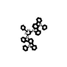 c1ccc(-c2nc(-n3c4ccccc4c4c3ccc3c5ccccc5n(-c5ccccc5)c34)cc(-n3c4ccccc4c4c3ccc3c5ccccc5n(-c5ccccc5)c34)n2)cc1